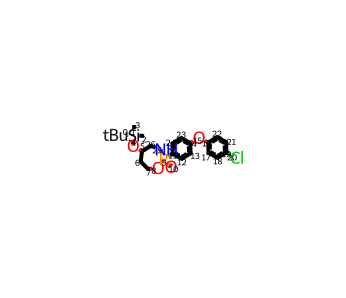 CC(C)(C)[Si](C)(C)OC1CCOP(=O)(c2ccc(Oc3ccc(Cl)cc3)cc2)NC1